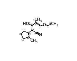 CCOC=C(C)C(O)C(C#N)C1CCCN1C